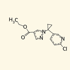 CCOC(=O)c1cnn(C2(c3ccc(Cl)nc3)CC2)c1